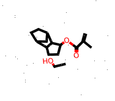 C=C(C)C(=O)OC1CCC2C3CCC(C3)C12.CCO